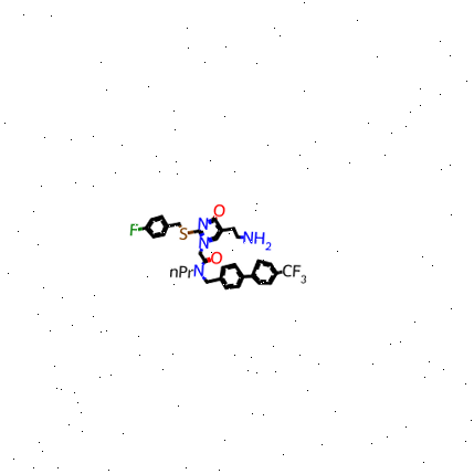 CCCN(Cc1ccc(-c2ccc(C(F)(F)F)cc2)cc1)C(=O)Cn1cc(CCN)c(=O)nc1SCc1ccc(F)cc1